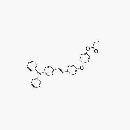 CCC(=O)Oc1ccc(Oc2ccc(C=Cc3ccc(N(c4ccccc4)c4ccccc4)cc3)cc2)cc1